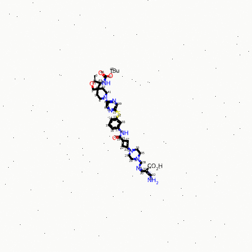 C[C@@H]1OCC2(CCN(c3cnc(Sc4cccc(NC(=O)C5CC(N6CCN(C/N=C\C(=C/N)C(=O)O)CC6)C5)c4)cn3)CC2)[C@@H]1NC(=O)OC(C)(C)C